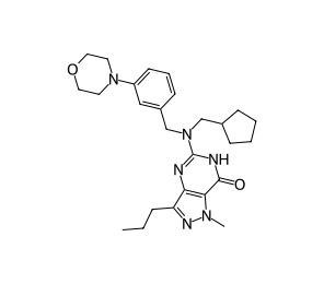 CCCc1nn(C)c2c(=O)[nH]c(N(Cc3cccc(N4CCOCC4)c3)CC3CCCC3)nc12